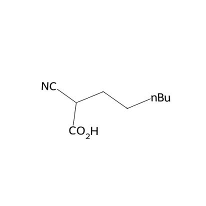 CCCCCCC(C#N)C(=O)O